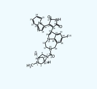 CN1C[C@H]2C[C@@H]1CN2C(=O)N1CCn2cc(C3=C(c4cnc5ccccn45)C(=O)NC3=O)c3cc(F)cc(c32)C1